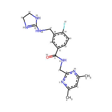 Cc1cc(C)nc(CNC(=O)c2ccc(F)c(CNC3=NCCN3)c2)n1